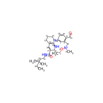 CCON(C)Cc1cc(N2CCCC3=C2NCC(C(=O)NCCC(C)(C)CC)=C3)ccc1C=O